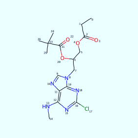 CCC(=O)OCC(Cn1cnc2c(NC)nc(Cl)nc21)OC(=O)C(C)(C)C